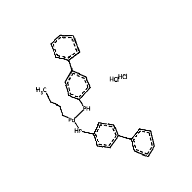 CCC[CH2][Pd]([PH]c1ccc(-c2ccccc2)cc1)[PH]c1ccc(-c2ccccc2)cc1.Cl.Cl